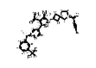 CC#CC(=O)N1CC[C@]2(C1)C[C@H](n1nc(-c3cnn([C@@H](C)c4cccc(C(F)(F)F)c4)c3)c(C(N)=O)c1N)C2